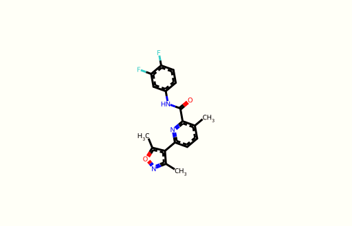 Cc1ccc(-c2c(C)noc2C)nc1C(=O)Nc1ccc(F)c(F)c1